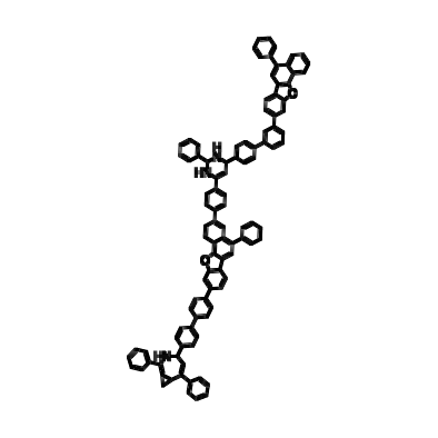 C1=C(c2ccc(-c3ccc4c(c3)c(-c3ccccc3)cc3c5ccc(-c6ccc(-c7ccc(C8C=C(c9ccccc9)C9CC9=C(c9ccccc9)N8)cc7)cc6)cc5oc43)cc2)NC(c2ccccc2)NC1c1ccc(-c2cccc(-c3ccc4c(c3)oc3c5ccccc5c(-c5ccccc5)cc43)c2)cc1